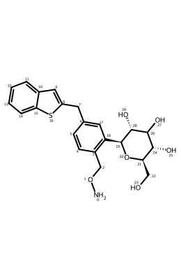 NOCc1ccc(Cc2cc3ccccc3s2)cc1[C@@H]1O[C@H](CO)[C@@H](O)C(O)[C@H]1O